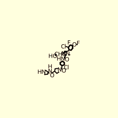 Cn1c(-c2ccc(OCF)c(F)c2Cl)cnc1C(=O)Nc1ccc(C(=O)N2CCC(C(=O)N[C@H]3CCNC3)CC2)c(Cl)c1.O=CO